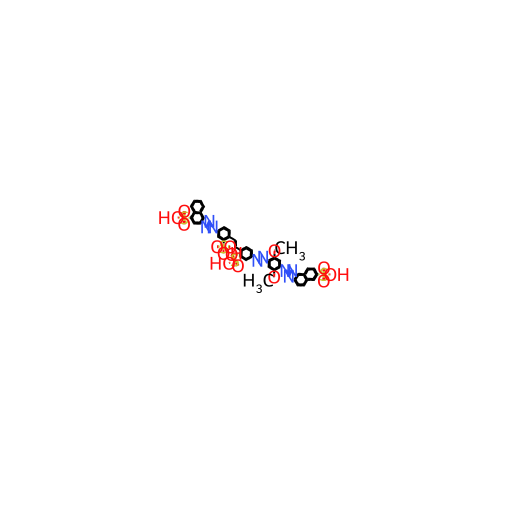 COc1cc(-n2n3c4ccc5cc(S(=O)(=O)O)ccc5c4n23)c(OC)cc1N=Nc1ccc(C=Cc2ccc(-n3n4c5cc(S(=O)(=O)O)c6ccccc6c5n34)cc2S(=O)(=O)O)c(S(=O)(=O)O)c1